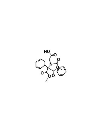 COC(=O)C(C(=O)OC)(c1ccccc1)N(CC(=O)O)C(=O)c1ccccc1